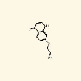 O=c1cc[nH]c2cc(OCCO)ccc12